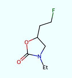 CCN1CC(CCF)OC1=O